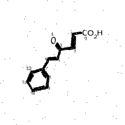 O=C(O)/C=C/C(=O)/C=C/c1ccccc1